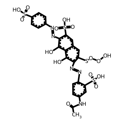 CC(=O)Nc1ccc(/N=N/c2c(SOOO)cc3cc(S(=O)(=O)O)c(/N=N/c4ccc(S(=O)(=O)O)cc4)c(O)c3c2O)c(S(=O)(=O)O)c1